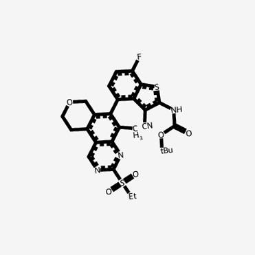 CCS(=O)(=O)c1ncc2c3c(c(-c4ccc(F)c5sc(NC(=O)OC(C)(C)C)c(C#N)c45)c(C)c2n1)COCC3